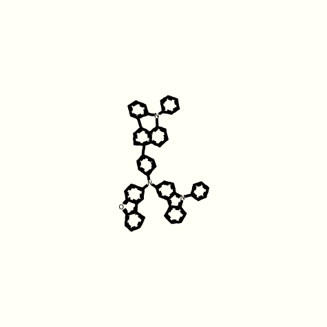 c1ccc(N2c3ccccc3-c3ccc(-c4ccc(N(c5ccc6oc7ccccc7c6c5)c5ccc6c(c5)c5ccccc5n6-c5ccccc5)cc4)c4cccc2c34)cc1